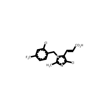 Cc1nc(Cl)c(C=CC(=O)O)n1Cc1ccc(C(F)(F)F)cc1Cl